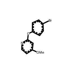 COc1ccnc(Oc2[c]cc(Br)cc2)c1